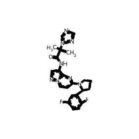 CC(C)(C(=O)Nc1cnn2ccc(N3CCCC3c3cc(F)ccc3F)nc12)n1cncn1